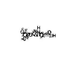 COC1=C(F)C(COc2cnc(Nc3cccc(CCC(=O)O)c3)nc2)=C(F)C(OC)C1